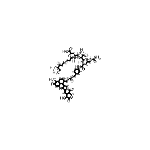 CCC(C)C(=O)CCOCCC(=O)N[C@@H](CCC(=O)O)C(=O)N[C@H](C(=O)N[C@@H](CCCNC(N)=O)C(=O)Nc1ccc(COC(=O)NCC2CCc3c(C)c(F)cc4nc5c(c2c34)Cn2c-5cc3c(c2=O)COC(=O)C3O)cc1)C(C)C